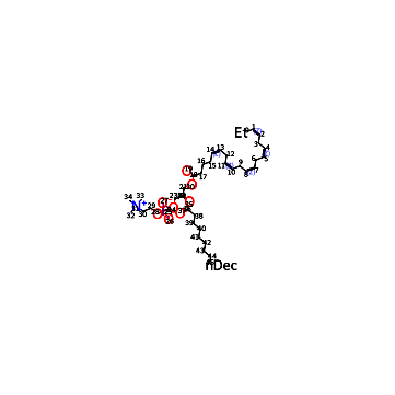 CC/C=C\C/C=C\C/C=C\C/C=C\C/C=C\CCCC(=O)OC[C@H](COP(=O)([O-])OCC[N+](C)(C)C)OC(=O)CCCCCCCCCCCCCCCCC